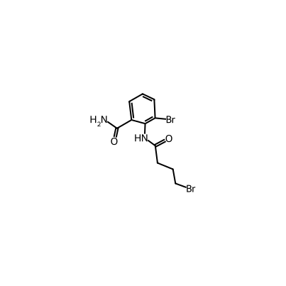 NC(=O)c1cccc(Br)c1NC(=O)CCCBr